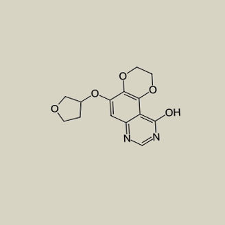 Oc1ncnc2cc(OC3CCOC3)c3c(c12)OCCO3